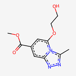 COC(=O)c1cc(OCCO)n2c(C)nnc2c1